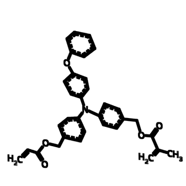 C=CC(=O)OCc1ccc(N(c2ccc(COC(=O)C(=C)C)cc2)c2ccc(Oc3ccccc3)cc2)cc1